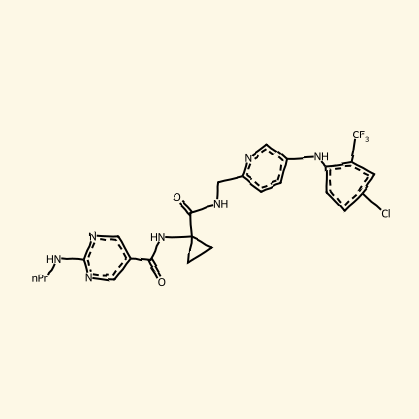 CCCNc1ncc(C(=O)NC2(C(=O)NCc3ccc(Nc4ccc(Cl)cc4C(F)(F)F)cn3)CC2)cn1